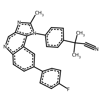 Cc1nc2cnc3ccc(-c4ccc(F)cc4)cc3c2n1-c1ccc(C(C)(C)C#N)cc1